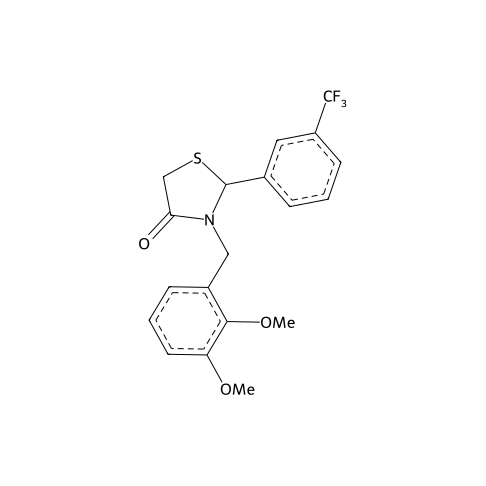 COc1cccc(CN2C(=O)CSC2c2cccc(C(F)(F)F)c2)c1OC